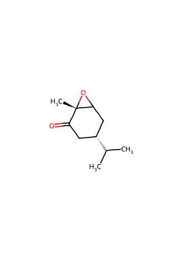 CC(C)[C@@H]1CC(=O)[C@]2(C)OC2C1